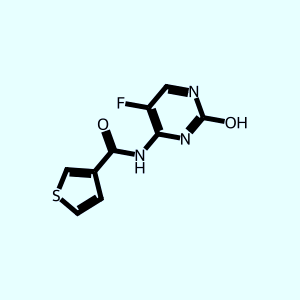 O=C(Nc1nc(O)ncc1F)c1ccsc1